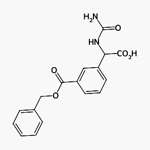 NC(=O)NC(C(=O)O)c1cccc(C(=O)OCc2ccccc2)c1